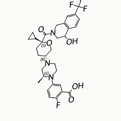 C[C@H]1CN([C@@H]2CC[C@@](C(=O)N3Cc4cc(C(F)(F)F)ccc4C(O)C3)(C3CC3)OC2)CCN1c1ccc(F)c(C(=O)O)c1